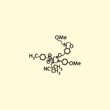 COCCCN1CCOc2ccc(CO[C@H]3CN(S(=O)(=O)c4ccc(C)cc4)[C@H](CC(C)(C)C#N)C[C@@H]3c3ccc(OC)cc3)cc21